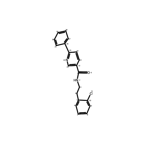 O=C(NCCc1ccccc1Cl)c1ccc(-c2ccccc2)nc1